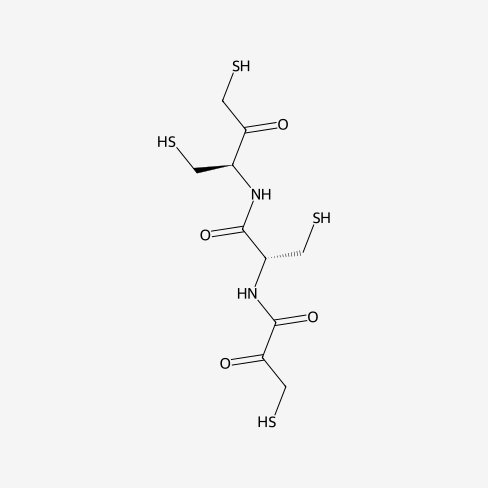 O=C(CS)C(=O)N[C@@H](CS)C(=O)N[C@@H](CS)C(=O)CS